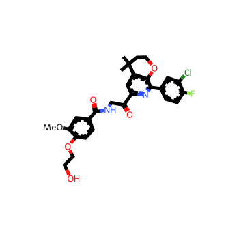 COc1cc(C(=O)NCC(=O)c2cc3c(c(-c4ccc(F)c(Cl)c4)n2)OCCC3(C)C)ccc1OCCO